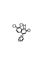 O=c1cc(-n2ccnc2)c2ccc(Cl)c(Cl)c2[nH]1